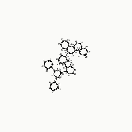 c1ccc(-c2nc(-c3ccccc3)nc(-c3ccnc4oc5c(-c6cc7c8ccccc8ccc7c7ccccc67)cccc5c34)n2)cc1